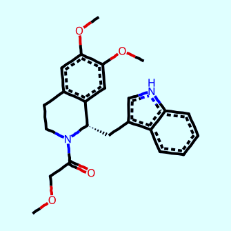 COCC(=O)N1CCc2cc(OC)c(OC)cc2[C@@H]1Cc1c[nH]c2ccccc12